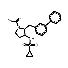 CC(C)C(=O)N1CCC(NS(=O)(=O)C2CC2)C1Cc1cccc(-c2ccccc2)c1